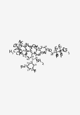 CC(=O)N(c1nn(C)c2c(-n3c(C(N)Cc4cc(F)cc(F)c4)nc4nc(OCC(F)(F)C(F)(F)C(F)(F)F)ccc4c3=O)ccc(Cl)c12)S(C)(=O)=O